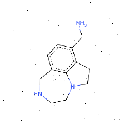 NCc1ccc2c3c1CCN3CCNC2